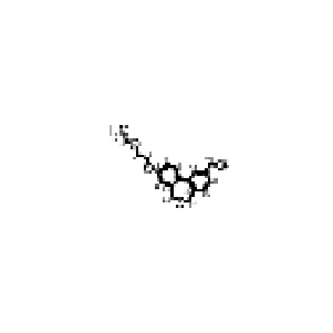 CCOCCOc1ccc2c(c1)COCc1ccc(C=O)cc1-2